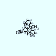 CCCC1=CC[C]([Ti+3])=C1[Si](C)(c1ccccc1)C1CCCCC1.[Cl-].[Cl-].[Cl-]